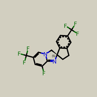 FC1=CC(C(F)(F)F)=CN2C[C@@]3(CCc4cc(C(F)(F)F)ccc43)N=C12